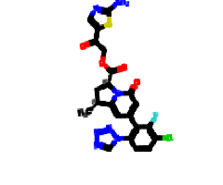 C[C@@H]1C[C@H](C(=O)OCC(=O)c2cnc(N)s2)n2c1cc(-c1c(-n3cnnn3)ccc(Cl)c1F)cc2=O